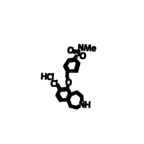 CNS(=O)(=O)c1ccc(COc2c(Cl)ccc3c2CCNCC3)cc1.Cl